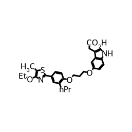 CCCc1cc(-c2nc(OCC)c(C)s2)ccc1OCCCOc1ccc2[nH]cc(CC(=O)O)c2c1